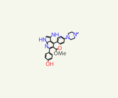 COC(=O)c1c(-c2ccc(O)cc2)nc2[nH]cc(N)c2c1-c1ccc(N2CCN(C)CC2)cc1